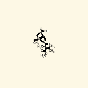 CCCN1CCN(C(=O)O)CC12CCN(C(=O)N(C)C(C(=O)OC)C(C)C)CC2